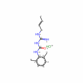 CC=CCNC(=N)NC(=O)Nc1c(C)cccc1C.Cl